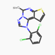 COC1N=c2sccc2=C2N(c3c(Cl)cccc3Cl)C=NN21